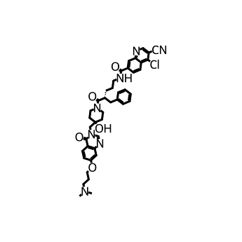 CN(C)CCCOc1ccc2c(=O)n(CC3(O)CCN(C(=O)[C@H](CCCNC(=O)c4ccc5c(Cl)c(C#N)cnc5c4)Cc4ccccc4)CC3)cnc2c1